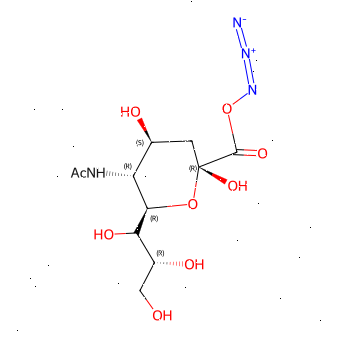 CC(=O)N[C@@H]1[C@@H](O)C[C@](O)(C(=O)ON=[N+]=[N-])O[C@H]1C(O)[C@H](O)CO